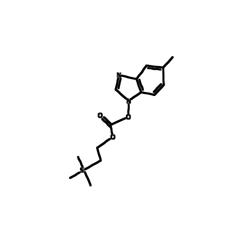 Cc1ccc2c(c1)ncn2OC(=O)OCC[Si](C)(C)C